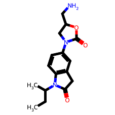 CCC(C)N1C(=O)Cc2cc(N3CC(CN)OC3=O)ccc21